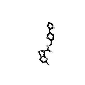 Cc1ccn2cnc(C(=O)NCc3ccc(-c4ccco4)cn3)c2n1